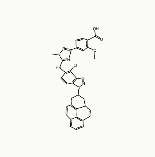 COc1cc(-c2nc(Nc3ccc4c(cnn4C4Cc5ccc6cccc7c6c5C(C=C7)C4)c3Cl)n(C)n2)ccc1C(=O)O